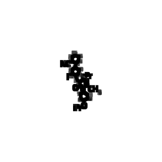 CCCc1nc(C)n(-c2ccc(OC(C)C)cc2)c(=O)c1Cc1ccc(-c2ccccc2C#N)cc1F